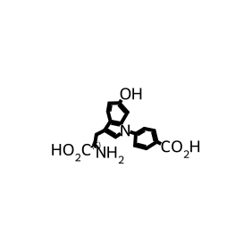 N[C@@H](Cc1cn(-c2ccc(C(=O)O)cc2)c2cc(O)ccc12)C(=O)O